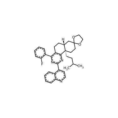 CC(C)CC[C@@]12CCC3(C[C@H]1CCc1c(-c4ccccc4F)nc(-c4ccnc5ccccc45)nc12)OCCO3